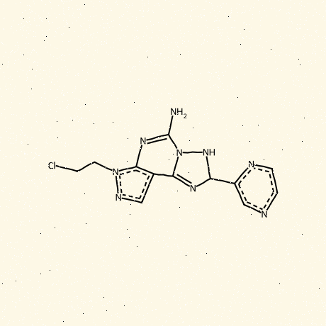 NC1=Nc2c(cnn2CCCl)C2=NC(c3cnccn3)NN12